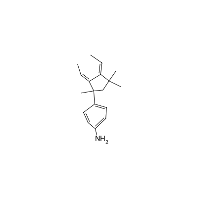 C/C=C1\C(=C/C)C(C)(c2ccc(N)cc2)CC1(C)C